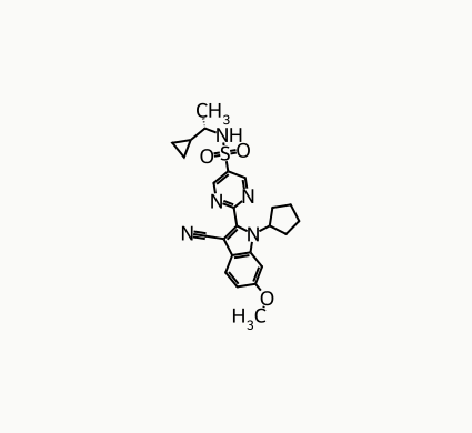 COc1ccc2c(C#N)c(-c3ncc(S(=O)(=O)N[C@@H](C)C4CC4)cn3)n(C3CCCC3)c2c1